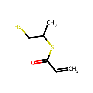 C=CC(=O)SC(C)CS